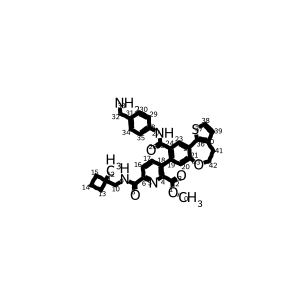 COC(=O)c1nc(C(=O)NCC2(C)CCC2)ccc1-c1cc2c(cc1C(=O)Nc1ccc(CN)cc1)-c1sccc1CCO2